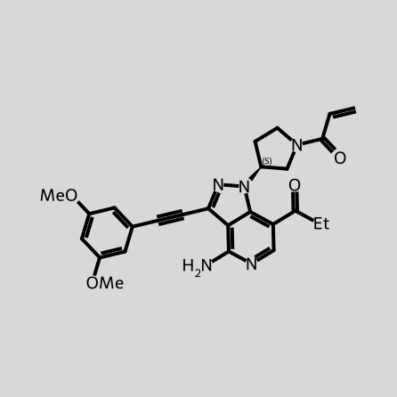 C=CC(=O)N1CC[C@H](n2nc(C#Cc3cc(OC)cc(OC)c3)c3c(N)ncc(C(=O)CC)c32)C1